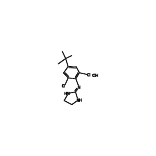 CC(C)(C)c1cc(Cl)c(N=C2NCCN2)c(Cl)c1.Cl